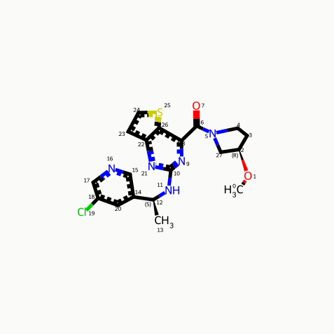 CO[C@@H]1CCN(C(=O)c2nc(N[C@@H](C)c3cncc(Cl)c3)nc3ccsc23)C1